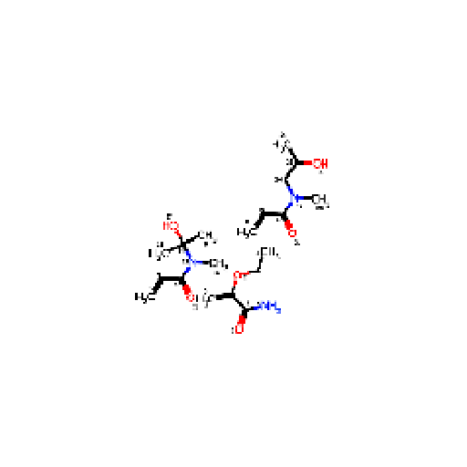 C=C(OCC)C(N)=O.C=CC(=O)N(C)C(C)(C)O.C=CC(=O)N(C)CC(C)O